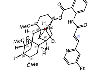 CCc1ccnc(/C=C/C(=O)Nc2ccccc2C(=O)O[C@@]23CC[C@H](OC)[C@]45C([C@@H](C[C@H]24)[C@@]2(O)C[C@H](OC)[C@H]4C[C@@H]5C2(O)[C@H]4OC)N(CC)C3)c1